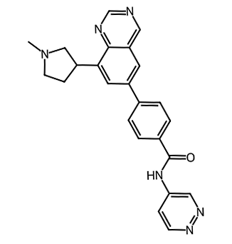 CN1CCC(c2cc(-c3ccc(C(=O)Nc4ccnnc4)cc3)cc3cncnc23)C1